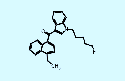 CCc1ccc(C(=O)c2cn(CCCCCF)c3ccccc23)c2ccccc12